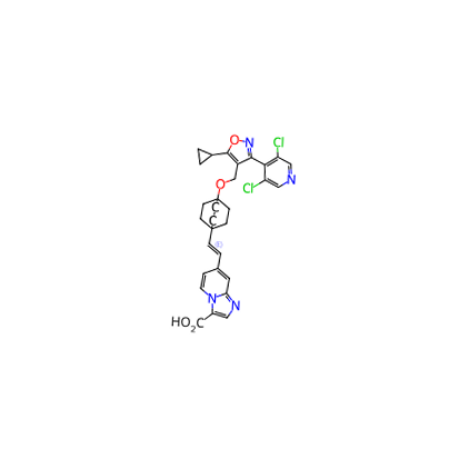 O=C(O)c1cnc2cc(/C=C/C34CCC(OCc5c(-c6c(Cl)cncc6Cl)noc5C5CC5)(CC3)CC4)ccn12